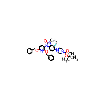 Cn1c(=O)n(-c2ccc(OCc3ccccc3)nc2OCc2ccccc2)c2ccc(N3CCN(C(=O)OC(C)(C)C)CC3)c(F)c21